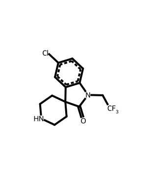 O=C1N(CC(F)(F)F)c2ccc(Cl)cc2C12CCNCC2